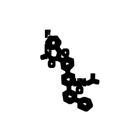 CNC(=O)C1c2cc(-c3ccc(-c4cccc(-c5ccccc5)c4)c(C(=O)NCC(C)C)c3)ccc2OC1c1ccc(F)cc1